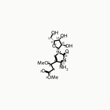 COC(=O)CC(OC)c1cn([C@@H]2O[C@H](CO)[C@@H](O)[C@H]2O)c(=O)nc1N